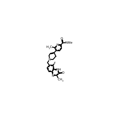 CNC(=O)c1ccc(C2=CCN(Cc3ccc4nc(C)c(=O)[nH]c4c3F)CC2)c(C)n1